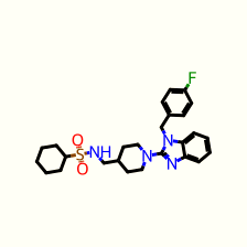 O=S(=O)(NCC1CCN(c2nc3ccccc3n2Cc2ccc(F)cc2)CC1)C1CCCCC1